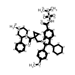 COc1ccc(-c2c(C3CCCCC3)c3ccc(C(=O)NS(=O)(=O)N(C)C)cc3n2CC2(C(=O)N3CCN(C)CC3c3ccccc3)CC2)cc1